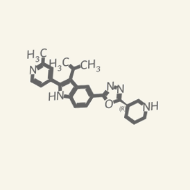 Cc1cc(-c2[nH]c3ccc(-c4nnc([C@@H]5CCCNC5)o4)cc3c2C(C)C)ccn1